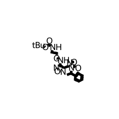 CC(c1ccccc1)n1c(-c2nonc2NOCCNC(=O)OC(C)(C)C)noc1=O